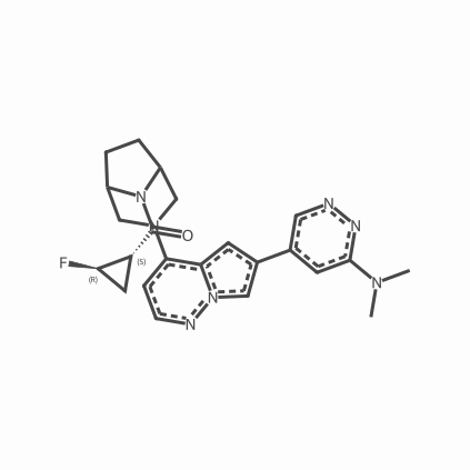 CN(C)c1cc(-c2cc3c(N4CC5CCC(C4)N5C(=O)[C@@H]4C[C@H]4F)ccnn3c2)cnn1